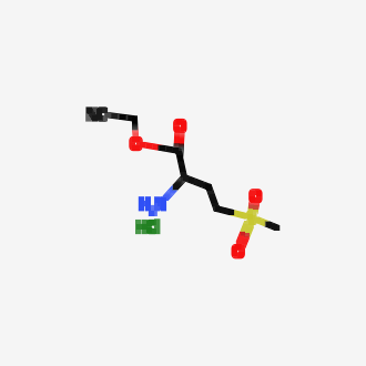 CS(=O)(=O)CCC(N)C(=O)OCC#N.Cl